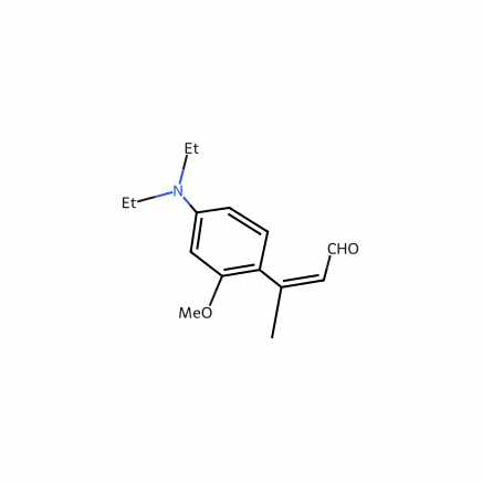 CCN(CC)c1ccc(/C(C)=C\C=O)c(OC)c1